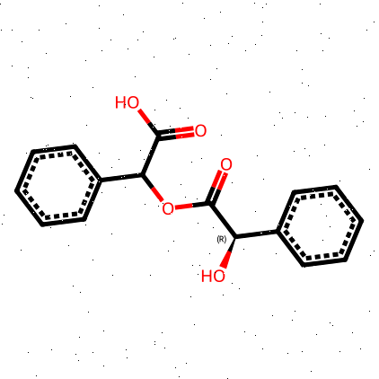 O=C(O)C(OC(=O)[C@H](O)c1ccccc1)c1ccccc1